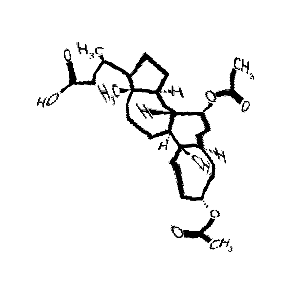 CC(=O)O[C@@H]1CC[C@@]2(C)[C@H](C1)C[C@H](OC(C)=O)[C@@H]1[C@@H]2CC[C@]2(C)[C@@H]([C@H](C)CC(=O)O)CC[C@@H]12